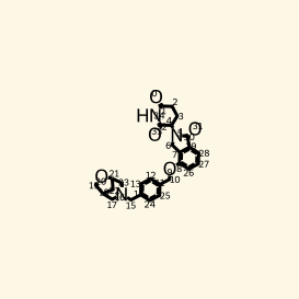 O=C1CCC(N2Cc3c(OCc4ccc(CN5CC6COC(C6)C5)cc4)cccc3C2=O)C(=O)N1